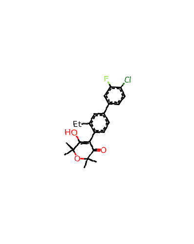 CCc1cc(-c2ccc(Cl)c(F)c2)ccc1C1=C(O)C(C)(C)OC(C)(C)C1=O